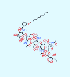 CCCCCCCCCCCOc1cccc(C(=O)NC2C(O[C@H](CCO)/C(O)=C(/NC(C)=O)C(O)OC3C(CO)OC(O[C@H](CCO)/C(O)=C(/NC(C)=O)[C@@H](O)OC4C(CO[C@H](O)/C(OC)=C(\O)C(O)CC)OC[C@@H](NC(C)=O)[C@H]4O)[C@@H](NC(C)=O)[C@H]3O)OC(CO)[C@@H](O)C2O)c1